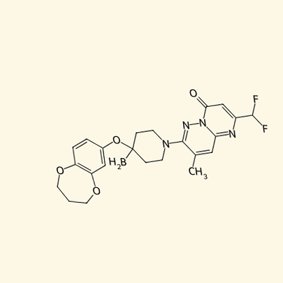 BC1(Oc2ccc3c(c2)OCCCO3)CCN(c2nn3c(=O)cc(C(F)F)nc3cc2C)CC1